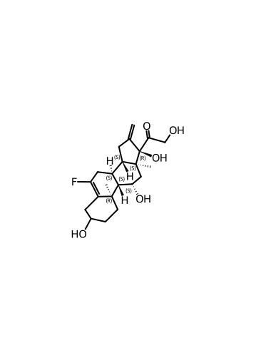 C=C1C[C@H]2[C@@H]3CC(F)=C4CC(O)CC[C@]4(C)[C@H]3[C@@H](O)C[C@]2(C)[C@@]1(O)C(=O)CO